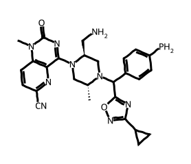 C[C@@H]1CN(c2nc(=O)n(C)c3ccc(C#N)nc23)[C@@H](CN)CN1C(c1ccc(P)cc1)c1nc(C2CC2)no1